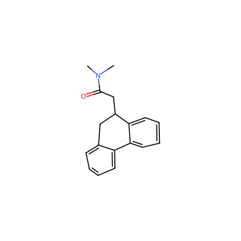 CN(C)C(=O)CC1Cc2ccccc2-c2ccccc21